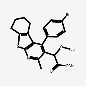 COC(=O)C(OC(C)(C)C)c1c(C)nc2sc3c(c2c1-c1ccc(Br)cc1)CCCC3